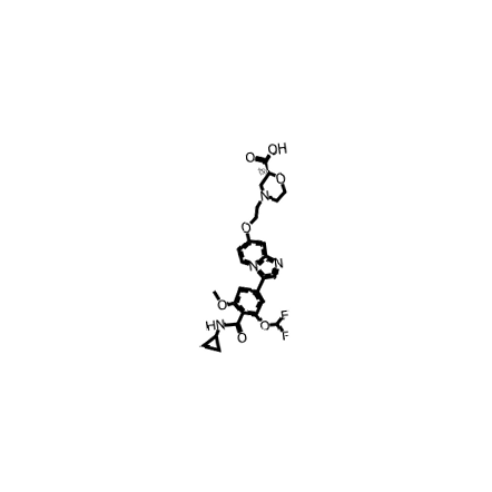 COc1cc(-c2cnc3cc(OCCN4CCO[C@H](C(=O)O)C4)ccn23)cc(OC(F)F)c1C(=O)NC1CC1